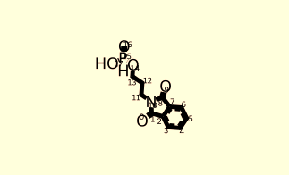 O=C1c2ccccc2C(=O)N1CCCO[PH](=O)O